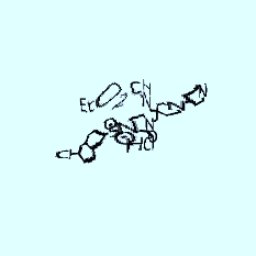 CCOC(=O)CNCC1(CN2CCN(S(=O)(=O)c3ccc4cc(Cl)ccc4c3)CC2=O)CCN(c2ccncc2)CC1.Cl